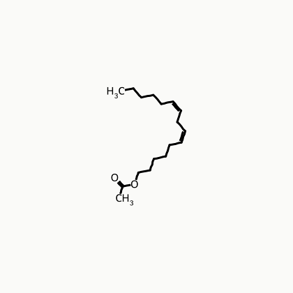 CCCCC/C=C\C/C=C\CCCCCOC(C)=O